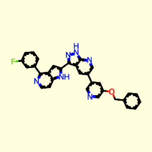 Fc1cccc(-c2nccc3[nH]c(-c4n[nH]c5ncc(-c6cncc(OCc7ccccc7)c6)cc45)cc23)c1